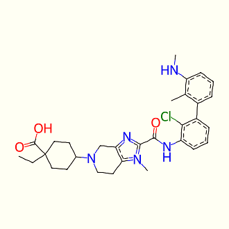 CCC1(C(=O)O)CCC(N2CCc3c(nc(C(=O)Nc4cccc(-c5cccc(NC)c5C)c4Cl)n3C)C2)CC1